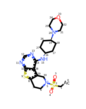 CC(=O)CS(=O)(=O)N1CCc2sc3ncnc(N[C@H]4CC[C@H](N5CCOCC5)CC4)c3c2C1